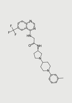 Cc1cccc(N2CCC(N3CC[C@@H](NC(=O)CNc4ncnc5ccc(C(F)(F)F)cc45)C3)CC2)c1